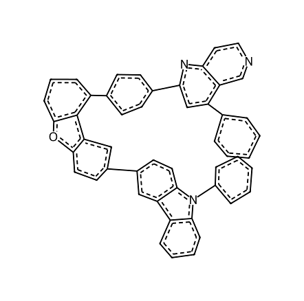 c1ccc(-c2cc(-c3ccc(-c4cccc5oc6ccc(-c7ccc8c(c7)c7ccccc7n8-c7ccccc7)cc6c45)cc3)nc3ccncc23)cc1